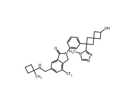 Cn1cnnc1C1(c2cccc(N3Cc4c(cc(CNC5(C)CCC5)cc4C(F)(F)F)C3=O)c2)CC2(CC(O)C2)C1